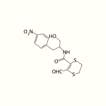 O=CC1=C(C(=O)NC(CO)Cc2ccc([N+](=O)[O-])cc2)SCCS1